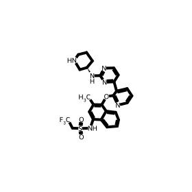 Cc1cc(NS(=O)(=O)CC(F)(F)F)c2ccccc2c1Oc1ncccc1-c1ccnc(N[C@H]2CCCNC2)n1